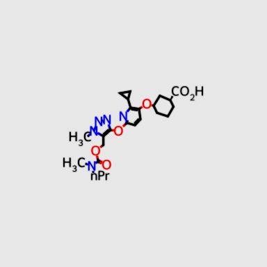 CCCN(C)C(=O)OCc1c(Oc2ccc(OC3CCC[C@H](C(=O)O)C3)c(C3CC3)n2)nnn1C